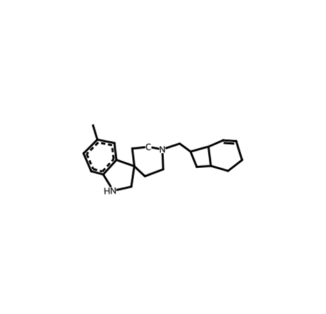 Cc1ccc2c(c1)C1(CCN(CC3CC4CCC=CC43)CC1)CN2